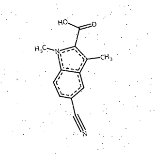 Cc1c(C(=O)O)n(C)c2ccc(C#N)cc12